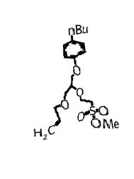 C=CCOCC(COc1ccc(CCCC)cc1)OCCS(=O)(=O)OC